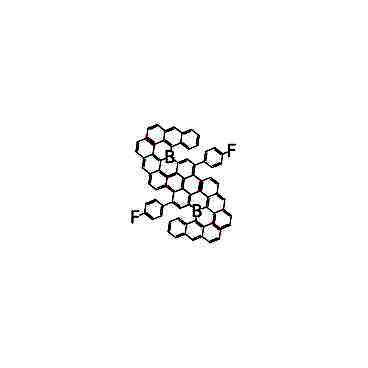 Fc1ccc(-c2cc(B(c3c4ccccc4cc4ccccc34)c3c4ccccc4cc4ccccc34)c3ccc4c(-c5ccc(F)cc5)cc(B(c5c6ccccc6cc6ccccc56)c5c6ccccc6cc6ccccc56)c5ccc2c3c54)cc1